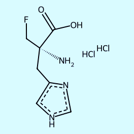 Cl.Cl.N[C@@](CF)(Cc1c[nH]cn1)C(=O)O